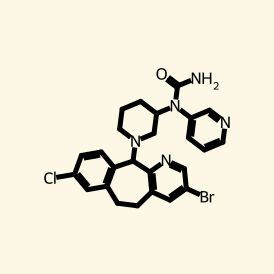 NC(=O)N(c1cccnc1)C1CCCN(C2c3ccc(Cl)cc3CCc3cc(Br)cnc32)C1